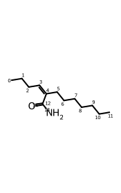 CCCC=C(CCCCCCC)C(N)=O